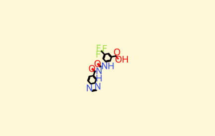 O=C(NC(=O)c1ccc2nccnc2c1)Nc1cc(C(=O)O)cc(C(F)(F)F)c1